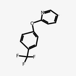 FC(F)(F)c1ccc(Oc2cc[c]cn2)cc1